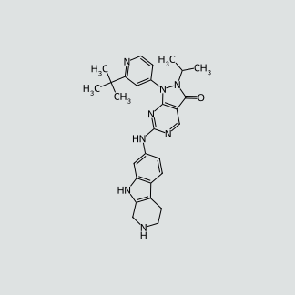 CC(C)n1c(=O)c2cnc(Nc3ccc4c5c([nH]c4c3)CNCC5)nc2n1-c1ccnc(C(C)(C)C)c1